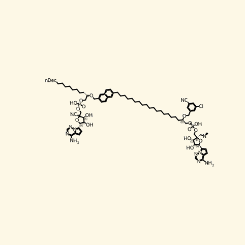 C=NC[C@]1(COP(=O)(O)OC[C@@H](CCCCCCCCCCCCCCCCCCc2ccc3cc(CO[C@@H](CCCCCCCCCCCCCCCCCC)COP(=O)(O)OC[C@@]4(C#N)O[C@@H](c5ccc6c(N)ncnn56)[C@H](O)[C@@H]4O)ccc3c2)OCc2cc(Cl)cc(C#N)c2)O[C@@H](c2ccc3c(N)ncnn23)[C@H](O)[C@@H]1O